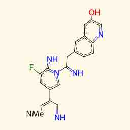 CN/C=C(\C=N)c1cc(F)c(=N)n(C(=N)Cc2ccc3ncc(O)cc3c2)c1